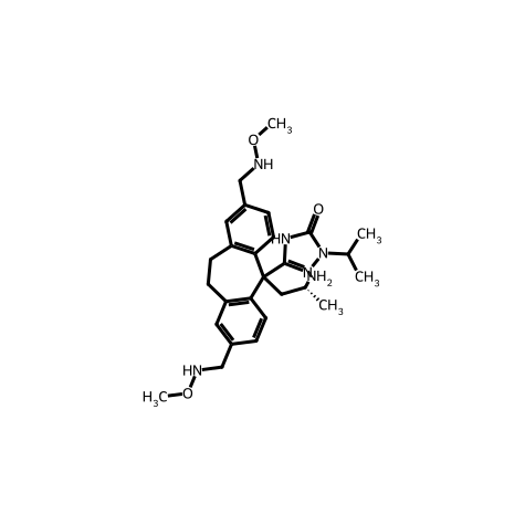 CONCc1ccc2c(c1)CCc1cc(CNOC)ccc1C2(C[C@@H](C)N)c1nn(C(C)C)c(=O)[nH]1